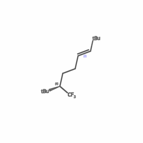 CC(C)(C)/C=C/CC[C@H](C(C)(C)C)C(F)(F)F